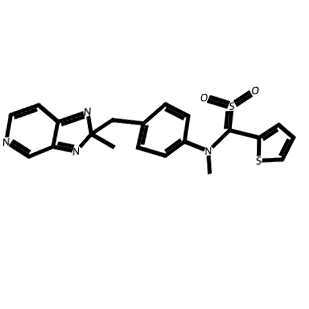 CN(C(c1cccs1)=S(=O)=O)c1ccc(CC2(C)N=c3ccncc3=N2)cc1